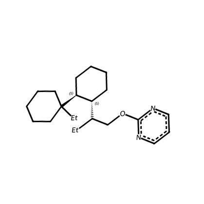 CCC(COc1ncccn1)[C@H]1CCCC[C@@H]1C1(CC)CCCCC1